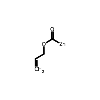 C=CCO[C](=O)[Zn]